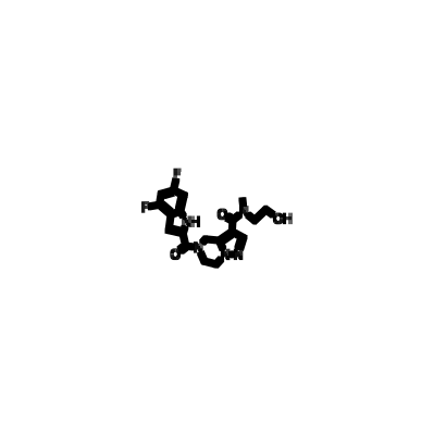 CN(CCO)C(=O)c1cnn2c1CN(C(=O)c1cc3c(F)cc(F)cc3[nH]1)CC2